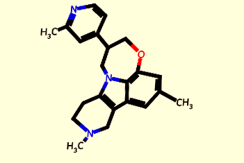 Cc1cc2c3c(c1)c1c(n3CC(c3ccnc(C)c3)CO2)CCN(C)C1